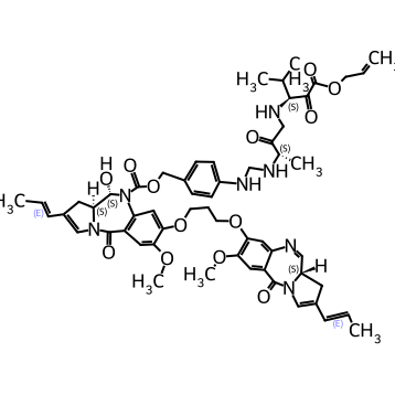 C=CCOC(=O)C(=O)[C@@H](NCC(=O)[C@H](C)NCNc1ccc(COC(=O)N2c3cc(OCCCOc4cc5c(cc4OC)C(=O)N4C=C(/C=C/C)C[C@H]4C=N5)c(OC)cc3C(=O)N3C=C(/C=C/C)C[C@H]3[C@@H]2O)cc1)C(C)C